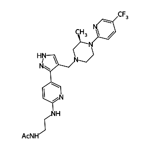 CC(=O)NCCNc1ccc(-c2n[nH]cc2CN2CCN(c3ccc(C(F)(F)F)cn3)[C@H](C)C2)cn1